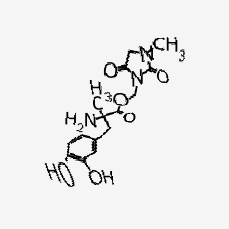 CN1CC(=O)N(COC(=O)[C@@](C)(N)Cc2ccc(O)c(O)c2)C1=O